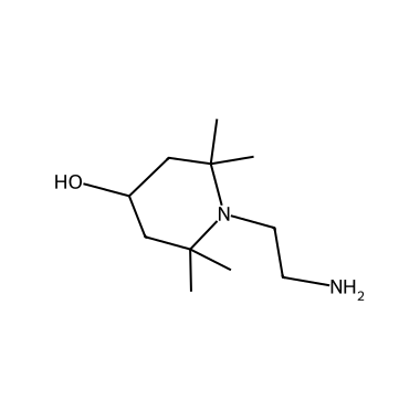 CC1(C)CC(O)CC(C)(C)N1CCN